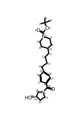 CC(C)(C)OC(=O)N1CCC(CCCCc2ccc(C(=O)N3CC[C@@H](O)C3)cc2)CC1